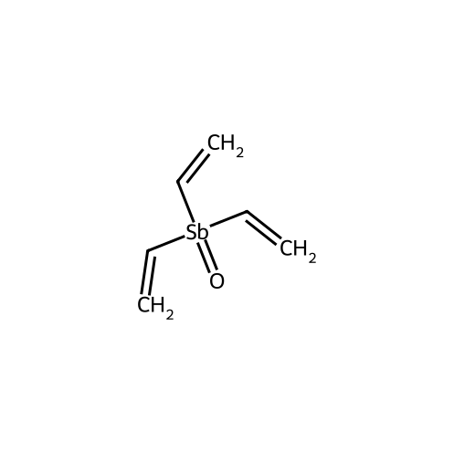 C=[CH][Sb](=[O])([CH]=C)[CH]=C